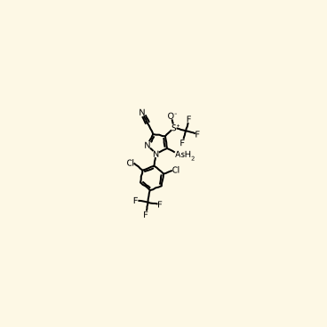 N#Cc1nn(-c2c(Cl)cc(C(F)(F)F)cc2Cl)c([AsH2])c1[S+]([O-])C(F)(F)F